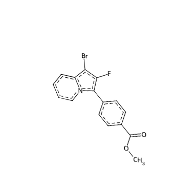 COC(=O)c1ccc(-c2c(F)c(Br)c3ccccn23)cc1